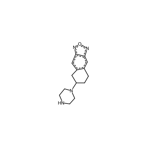 c1c2c(cc3nonc13)CC(N1CCNCC1)CC2